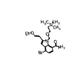 CCO/C=C/c1cc2c(Br)ccc(C(N)=O)c2n1COCC[Si](C)(C)C